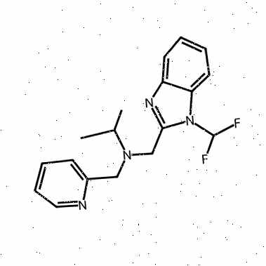 CC(C)N(Cc1ccccn1)Cc1nc2ccccc2n1C(F)F